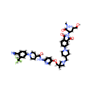 CNC(=O)C(CCC=O)N1C(=O)c2ccc(N3CCC(CN4CC(C)(COc5ccc(NC(=O)C6CCN(c7ccc(C#N)c(C(F)(F)F)c7)CC6)nc5)C4)CC3)cc2C1=O